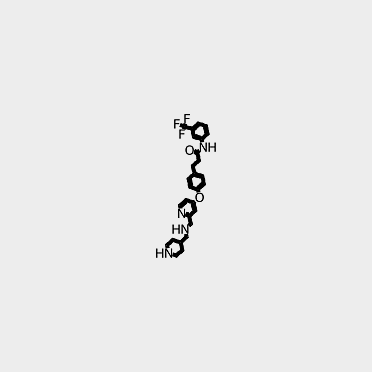 O=C(CCc1ccc(Oc2ccnc(CNCC3CCNCC3)c2)cc1)Nc1cccc(C(F)(F)F)c1